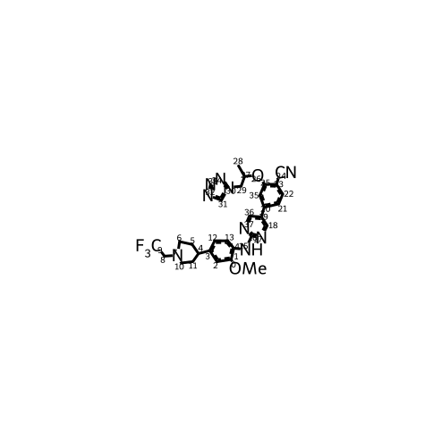 COc1cc(C2CCN(CC(F)(F)F)CC2)ccc1Nc1ncc(-c2ccc(C#N)c(OC(C)Cn3cnnn3)c2)cn1